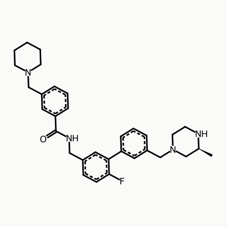 C[C@H]1CN(Cc2cccc(-c3cc(CNC(=O)c4cccc(CN5CCCCC5)c4)ccc3F)c2)CCN1